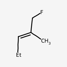 [CH2]C/C=C(\C)CF